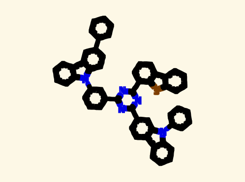 c1ccc(-c2ccc3c(c2)c2ccccc2n3-c2cccc(-c3nc(-c4ccc5c6ccccc6n(-c6ccccc6)c5c4)nc(-c4cccc5c4sc4ccccc45)n3)c2)cc1